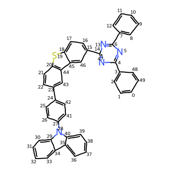 c1ccc(-c2nc(-c3ccccc3)nc(-c3ccc4sc5ccc(-c6ccc(-n7c8ccccc8c8ccccc87)cc6)cc5c4c3)n2)cc1